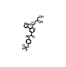 O=C(Nc1ccc(OC(F)(F)Cl)cc1)c1cnc(NCC[C@H](O)CO)c(-c2ccn[nH]2)c1